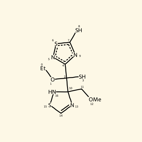 CCOC(S)(c1nsc(S)n1)C1(COC)N=CSN1